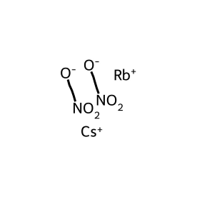 O=[N+]([O-])[O-].O=[N+]([O-])[O-].[Cs+].[Rb+]